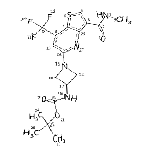 CNC(=O)c1csc2c(C(F)(F)F)cc(N3CC(NC(=O)OC(C)(C)C)C3)nc12